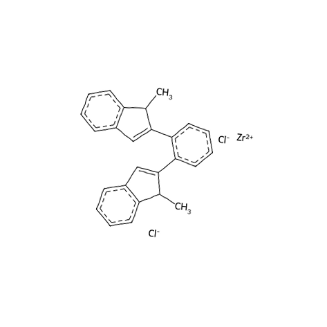 CC1C(c2ccccc2C2=Cc3ccccc3C2C)=Cc2ccccc21.[Cl-].[Cl-].[Zr+2]